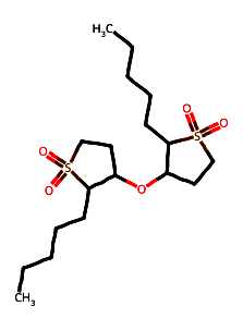 CCCCCC1C(OC2CCS(=O)(=O)C2CCCCC)CCS1(=O)=O